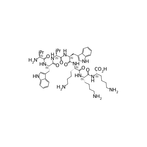 CC(C)[C@H](N)C(=O)N[C@@H](Cc1c[nH]c2ccccc12)C(=O)N[C@H](C(=O)N[C@@H](Cc1c[nH]c2ccccc12)C(=O)N[C@@H](CCCCN)C(=O)N[C@@H](CCCCN)C(=O)N[C@@H](CCCCN)C(=O)O)C(C)C